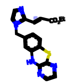 CCOC(=O)/C=C/c1nccn1Cc1ccc2c(c1)Nc1nccnc1S2